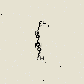 CCCCCCCOc1ccc(CCc2cnc(C3CCC(CCCCC)CC3)nc2)cc1